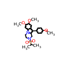 COc1ccc(-c2c3n(c4cc(OC)c(OC)cc24)CCN(S(=O)(=O)C(C)C)C3)cc1